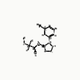 CCC(C)(C)C(=O)ON1CCCC1c1cccc(F)c1